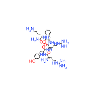 N=C(N)NCCC[C@@H](N)C(=O)N[C@@H](Cc1ccc(O)cc1)C(=O)N[C@H](CCCNC(=N)N)C(=O)N[C@@H](Cc1ccccc1)C(=O)N[C@@H](CCCCN)C(N)=O